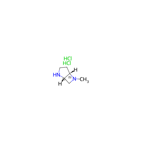 CN1C[C@@H]2NCC[C@@H]21.Cl.Cl